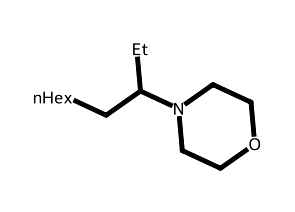 CCCCCCCC(CC)N1CCOCC1